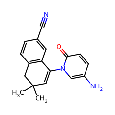 CC1(C)C=C(n2cc(N)ccc2=O)c2cc(C#N)ccc2C1